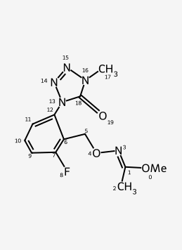 COC(C)=NOCc1c(F)cccc1-n1nnn(C)c1=O